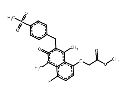 COC(=O)COc1ccc(F)c2c1c(C)c(Cc1ccc(S(C)(=O)=O)cc1)c(=O)n2C